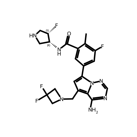 Cc1c(F)cc(-c2cc(CN3CC(F)(F)C3)c3c(N)ncnn23)cc1C(=O)N[C@@H]1CNC[C@@H]1F